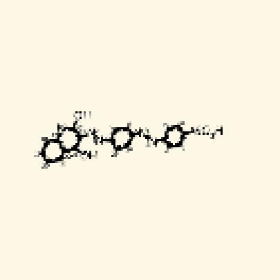 O=S(=O)(O)c1ccc(N=Nc2ccc(N=Nc3c(O)nc4ccccc4c3O)cc2)cc1